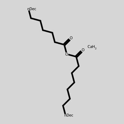 CCCCCCCCCCCCCCCCC(=O)OC(=O)CCCCCCCCCCCCCCC.[CaH2]